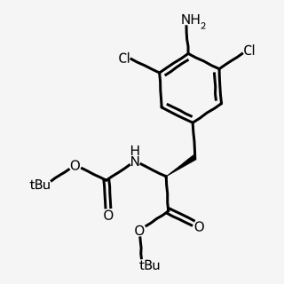 CC(C)(C)OC(=O)N[C@@H](Cc1cc(Cl)c(N)c(Cl)c1)C(=O)OC(C)(C)C